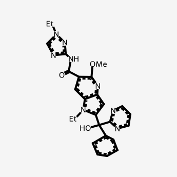 CCn1cnc(NC(=O)c2cc3c(cc(C(O)(c4ccccc4)c4ncccn4)n3CC)nc2OC)n1